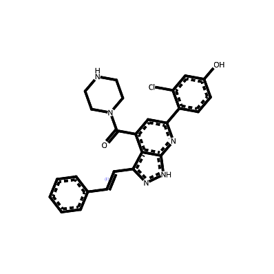 O=C(c1cc(-c2ccc(O)cc2Cl)nc2[nH]nc(/C=C/c3ccccc3)c12)N1CCNCC1